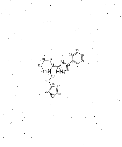 c1ccc(-c2c[nH]c(C3CCCCN3CCc3ccoc3)n2)cc1